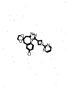 Clc1ccc2c(c1)CC1(Cc3nnc(C4CN(c5ncccn5)C4)n3-2)OCCO1